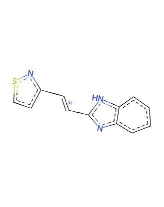 C(=C\c1nc2ccccc2[nH]1)/c1ccsn1